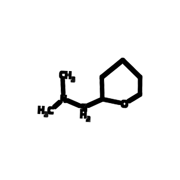 CN(C)[SiH2]C1CCCCO1